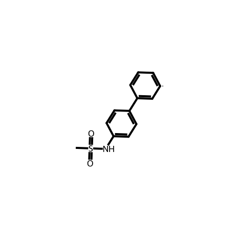 CS(=O)(=O)Nc1ccc(-c2c[c]ccc2)cc1